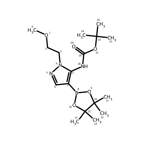 COCCn1ncc(B2OC(C)(C)C(C)(C)O2)c1NC(=O)OC(C)(C)C